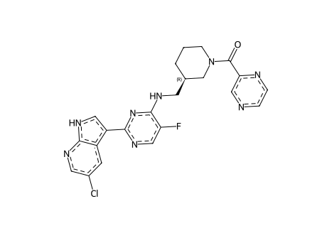 O=C(c1cnccn1)N1CCC[C@H](CNc2nc(-c3c[nH]c4ncc(Cl)cc34)ncc2F)C1